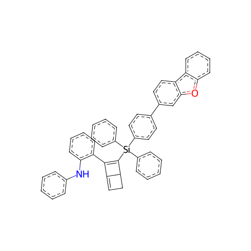 C1=C2C(c3ccccc3Nc3ccccc3)=C([Si](c3ccccc3)(c3ccccc3)c3ccc(-c4ccc5c(c4)oc4ccccc45)cc3)C2C1